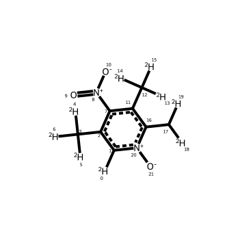 [2H]c1c(C([2H])([2H])[2H])c([N+](=O)[O-])c(C([2H])([2H])[2H])c(C([2H])[2H])[n+]1[O-]